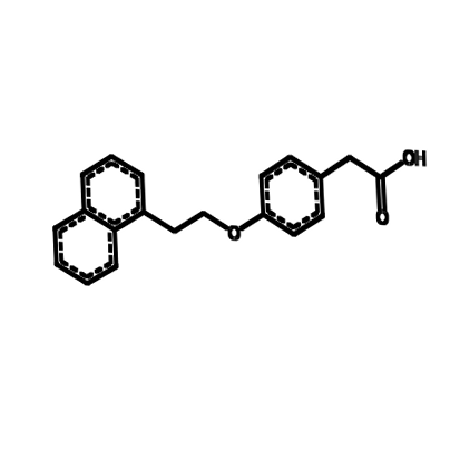 O=C(O)Cc1ccc(OCCc2cccc3ccccc23)cc1